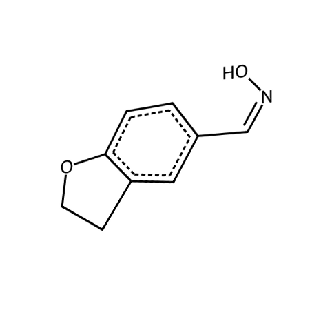 O/N=C\c1ccc2c(c1)CCO2